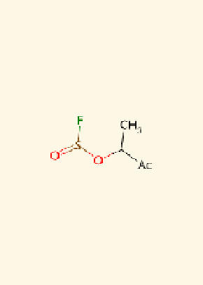 CC(=O)C(C)OS(=O)F